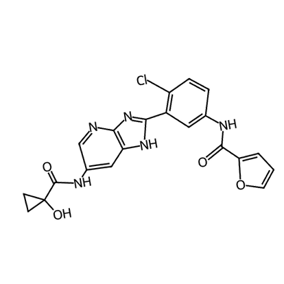 O=C(Nc1ccc(Cl)c(-c2nc3ncc(NC(=O)C4(O)CC4)cc3[nH]2)c1)c1ccco1